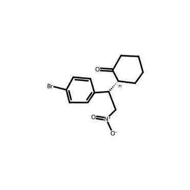 O=C1CCCC[C@@H]1C(C[N+](=O)[O-])c1ccc(Br)cc1